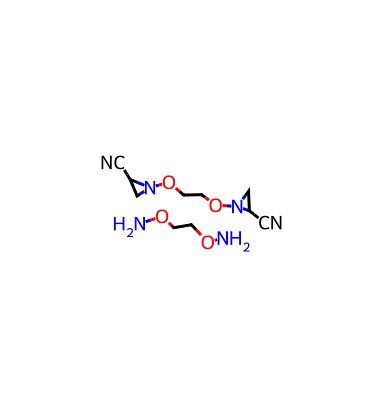 N#CC1CN1OCCON1CC1C#N.NOCCON